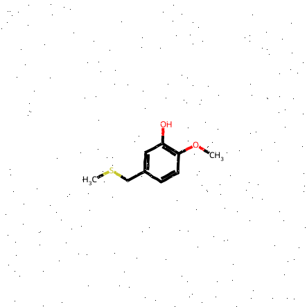 COc1ccc(CSC)cc1O